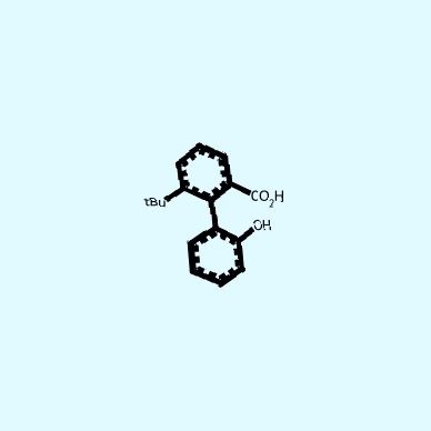 CC(C)(C)c1cccc(C(=O)O)c1-c1ccccc1O